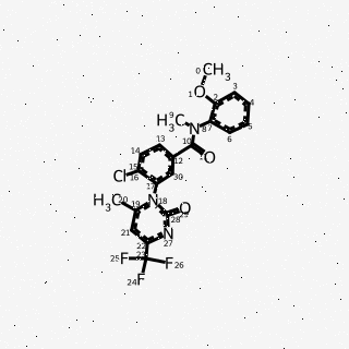 COc1ccccc1N(C)C(=O)c1ccc(Cl)c(-n2c(C)cc(C(F)(F)F)nc2=O)c1